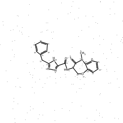 CN1C(=S)C(NC(=O)c2nnc(Cc3ccccc3)[nH]2)COc2cccnc21